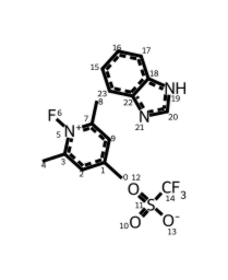 Cc1cc(C)[n+](F)c(C)c1.O=S(=O)([O-])C(F)(F)F.c1ccc2[nH]cnc2c1